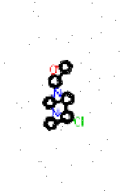 Clc1cc2c3cccc4c3c3c(cccc3n3c5ccccc5c(c1)c23)n4-c1ccc2oc3ccccc3c2c1